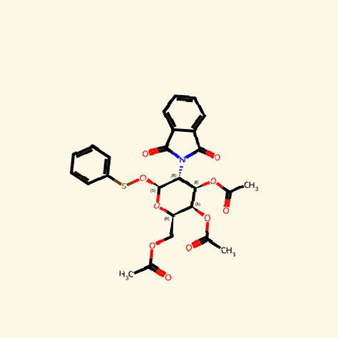 CC(=O)OC[C@H]1O[C@@H](OSc2ccccc2)[C@H](N2C(=O)c3ccccc3C2=O)[C@@H](OC(C)=O)[C@H]1OC(C)=O